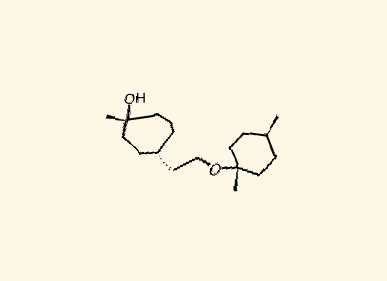 C[C@H]1CC[C@](C)(OCC[C@H]2CC[C@@](C)(O)CC2)CC1